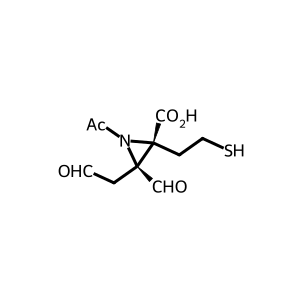 CC(=O)N1[C@@](C=O)(CC=O)[C@]1(CCS)C(=O)O